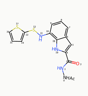 CC(=O)NNC(=O)c1cc2cccc(NSc3cccs3)c2[nH]1